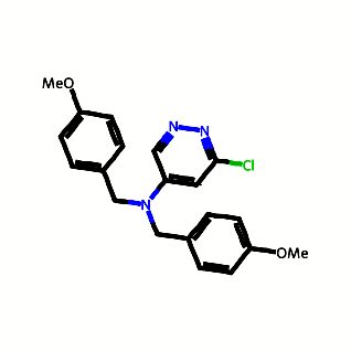 COc1ccc(CN(Cc2ccc(OC)cc2)c2[c]c(Cl)nnc2)cc1